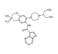 C[C@@]1(O)COc2cc(N3CCN(C(CO)CO)CC3)c(NC(=O)c3cnn4cccnc34)cc2C1